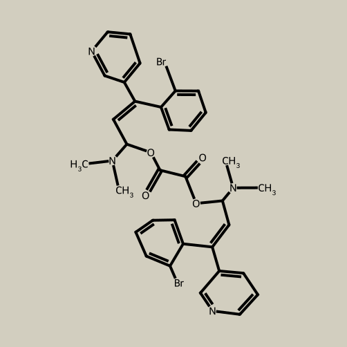 CN(C)C(/C=C(/c1cccnc1)c1ccccc1Br)OC(=O)C(=O)OC(/C=C(/c1cccnc1)c1ccccc1Br)N(C)C